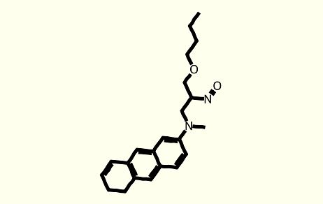 CCCCOCC(CN(C)c1ccc2cc3c(cc2c1)C=CCC3)N=O